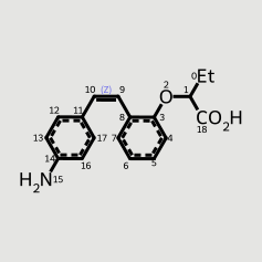 CCC(Oc1ccccc1/C=C\c1ccc(N)cc1)C(=O)O